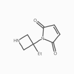 CCC1(N2C(=O)C=CC2=O)CNC1